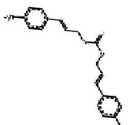 O=C(OCC=Cc1ccc([N+](=O)[O-])cc1)OCC=Cc1ccc([N+](=O)[O-])cc1